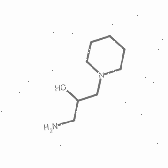 NCC(O)CN1CCCCC1